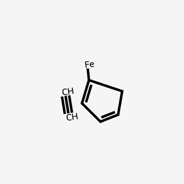 C#C.[Fe][C]1=CC=CC1